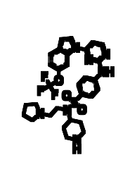 O=S(=O)(c1ccc(Nc2nccc(-n3ccc4ccc(OC(F)(F)F)cc43)n2)cc1)N(CCN1CCCC1)C1CCNCC1